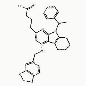 CC(c1ccccc1)n1c2c(c3c(NCc4ccc5c(c4)OCO5)nc(CCCC(=O)O)nc31)CCCC2